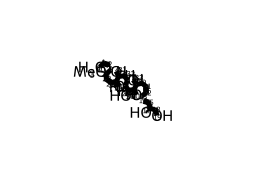 C/C=C\[C@H]1O[C@H]2C[C@H]3O[C@H]4CC=C[C@H](/C=C/[C@H](O)CO)O[C@@H]4[C@@H](O)[C@@H]3O[C@@H]2C=C[C@@H]1OC